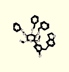 CO[C@@]1(c2ccc(Cl)c(Cc3ccc4c(c3)CCO4)c2)O[C@H](C=O)[C@@H](OCc2ccccc2)[C@H](OCc2ccccc2)[C@H]1OCc1ccccc1